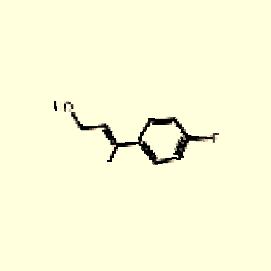 OC/C=C(\I)c1ccc(F)cc1